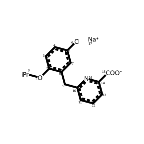 CC(C)Oc1ccc(Cl)cc1Cc1cccc(C(=O)[O-])n1.[Na+]